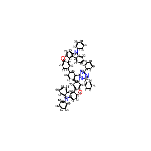 c1ccc(-c2nc(-c3ccccc3)nc(-c3cc(-c4ccc5oc6ccc7c(c8ccccc8n7-c7ccccc7)c6c5c4)ccc3-c3ccc4oc5ccc6c(c7ccccc7n6-c6ccccc6)c5c4c3)n2)cc1